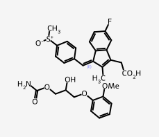 CC1=C(CC(=O)O)c2cc(F)ccc2/C1=C\c1ccc([S+](C)[O-])cc1.COc1ccccc1OCC(O)COC(N)=O